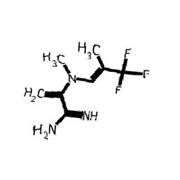 C=C(C(=N)N)N(C)/C=C(\C)C(F)(F)F